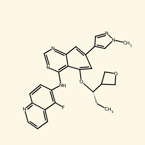 CC[C@H](Oc1cc(-c2cnn(C)c2)cc2ncnc(Nc3ccc4ncccc4c3F)c12)C1COC1